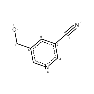 N#Cc1cncc(C[O])c1